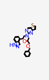 c1ccc(COCC2CN(c3ncc4sccc4n3)CC(c3cccc4[nH]ncc34)O2)cc1